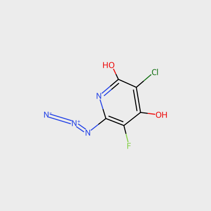 [N-]=[N+]=Nc1nc(O)c(Cl)c(O)c1F